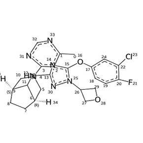 Cc1cc(N2C[C@H]3CC[C@@H](C2)C3Nc2nc(Oc3ccc(F)c(Cl)c3)n(C3COC3)n2)ncn1